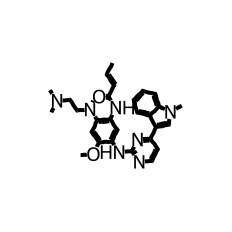 C/C=C/C(=O)Nc1cc(Nc2nccc(-c3cn(C)c4ccccc34)n2)c(OC)cc1N(C)CCN(C)C